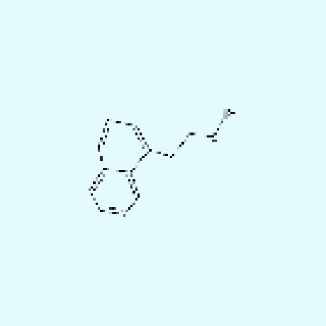 CC(C)SCCc1cccc2ccccc12